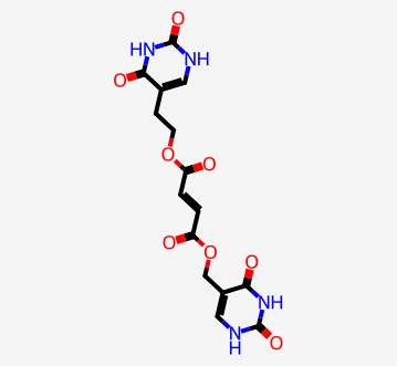 O=C(/C=C/C(=O)OCc1c[nH]c(=O)[nH]c1=O)OCCc1c[nH]c(=O)[nH]c1=O